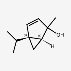 CC(C)[C@@]12C=CC(C)(O)[C@H]1C2